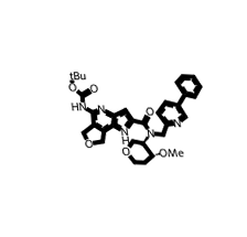 CO[C@@H]1CCOC[C@H]1N(Cc1ccc(-c2ccccc2)cn1)C(=O)c1cc2nc(NC(=O)OC(C)(C)C)c3c(c2[nH]1)COC3